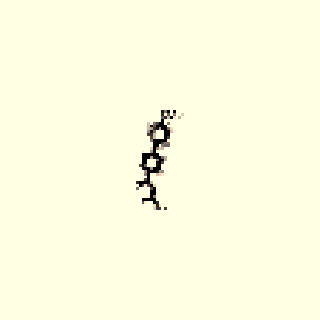 C=C(/C=C(\C)CC)c1ccc(-c2ccc(SC)nn2)cc1